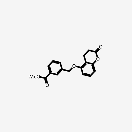 COC(=O)c1cccc(COc2cccc3c2CCC(=O)O3)c1